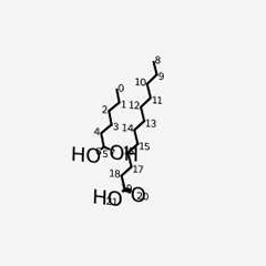 CCCCCC(O)O.CCCCCCCCCCCC(=O)O